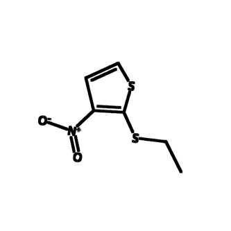 CCSc1sccc1[N+](=O)[O-]